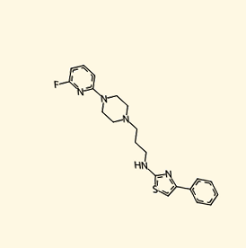 Fc1cccc(N2CCN(CCCNc3nc(-c4ccccc4)cs3)CC2)n1